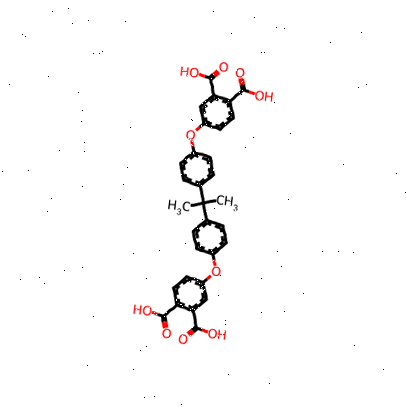 CC(C)(c1ccc(Oc2ccc(C(=O)O)c(C(=O)O)c2)cc1)c1ccc(Oc2ccc(C(=O)O)c(C(=O)O)c2)cc1